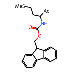 CSCCC(NC(=O)OCC1c2ccccc2-c2ccccc21)C(C)=O